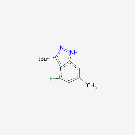 Cc1cc(F)c2c(C(C)(C)C)n[nH]c2c1